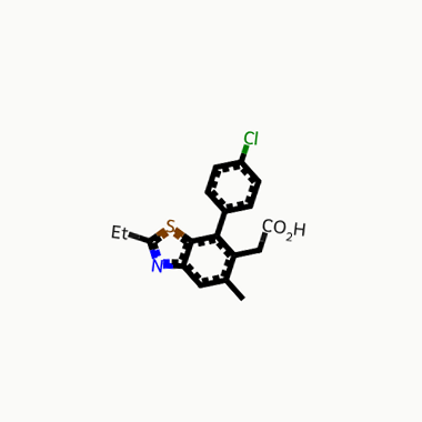 CCc1nc2cc(C)c(CC(=O)O)c(-c3ccc(Cl)cc3)c2s1